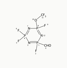 O=CP1(F)=NP(F)(F)=NP(F)(OC(F)(F)F)=N1